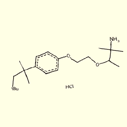 CC(OCCOc1ccc(C(C)(C)CC(C)(C)C)cc1)C(C)(C)N.Cl